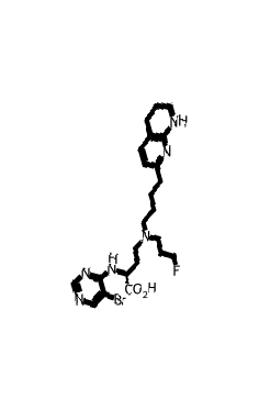 O=C(O)[C@H](CCN(CCCF)CCCCc1ccc2c(n1)NCCC2)Nc1ncncc1Br